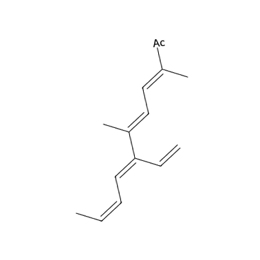 C=CC(=C\C=C/C)/C(C)=C/C=C(\C)C(C)=O